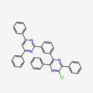 Clc1nc(-c2ccccc2)c(-c2cccc(-c3nc(-c4ccccc4)cc(-c4ccccc4)n3)c2)nc1-c1ccccc1